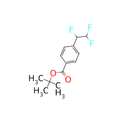 CC(C)(C)OC(=O)c1ccc(C(F)C(F)F)cc1